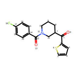 O=C(c1cccs1)C1CCCN(C(=O)c2ccc(F)cc2)C1